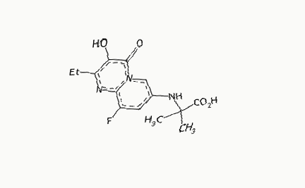 CCc1nc2c(F)cc(NC(C)(C)C(=O)O)cn2c(=O)c1O